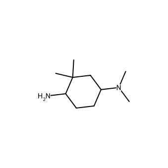 CN(C)C1CCC(N)C(C)(C)C1